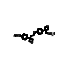 COc1ccc(C2(CCOc3ccc(C4(CC(=O)O)COC4)cc3)COC2)cc1